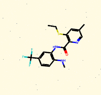 CCSc1cc(C)cnc1C(=O)Nc1cc(C(F)(F)F)ccc1NC